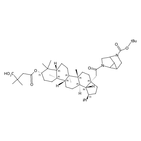 CC(C)[C@@H]1CC[C@]2(CC(=O)N3CC4C5C(CN4C(=O)OC(C)(C)C)C53)CC[C@]3(C)[C@H](CC[C@@H]4[C@@]5(C)CC[C@H](OC(=O)CC(C)(C)C(=O)O)C(C)(C)[C@@H]5CC[C@]43C)[C@@H]12